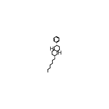 CCCCCCC[C@H]1CC[C@@H]2C[C@H](c3ccccc3)CC[C@H]2C1